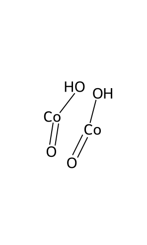 [O]=[Co][OH].[O]=[Co][OH]